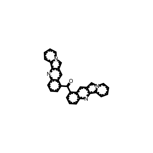 O=C(c1cccc2nc3c(cc12)cn1ccccc31)c1cccc2nc3c(cc12)cn1ccccc31